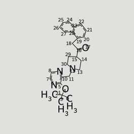 CC(C)(C)Oc1nccnc1CN1CCC(C(=O)Cc2cccc3ccccc23)CC1